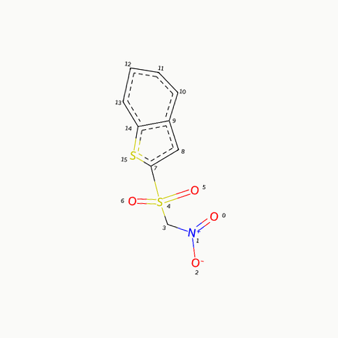 O=[N+]([O-])CS(=O)(=O)c1cc2ccccc2s1